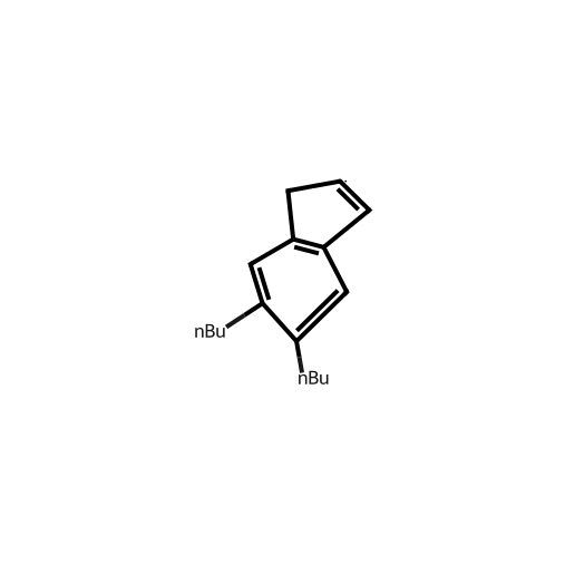 CCCCc1cc2c(cc1CCCC)C[C]=C2